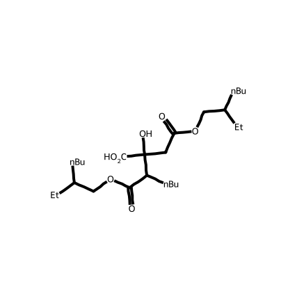 CCCCC(CC)COC(=O)CC(O)(C(=O)O)C(CCCC)C(=O)OCC(CC)CCCC